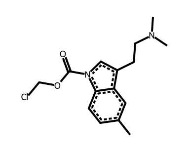 Cc1ccc2c(c1)c(CCN(C)C)cn2C(=O)OCCl